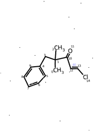 CC(C)(Cc1ccccc1)C(=O)/C=C/Cl